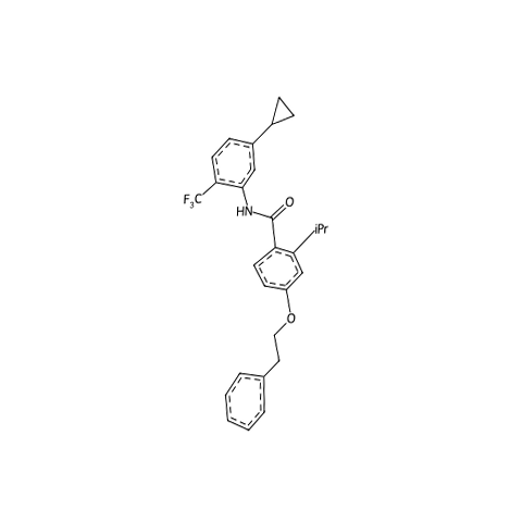 CC(C)c1cc(OCCc2ccccc2)ccc1C(=O)Nc1cc(C2CC2)ccc1C(F)(F)F